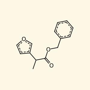 CC(C(=O)OCc1ccccc1)c1ccoc1